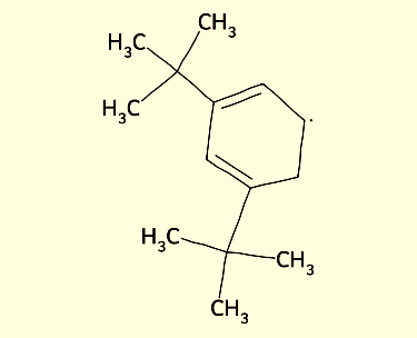 CC(C)(C)C1=C[CH]CC(C(C)(C)C)=C1